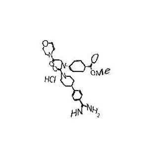 COC(=O)[C@H]1CC[C@H](N(CC(=O)N2CCOCC2)C(=O)N2CCC(c3ccc(C(=N)N)cc3)CC2)CC1.Cl